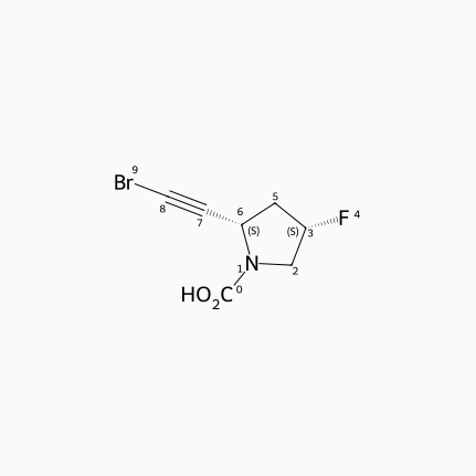 O=C(O)N1C[C@@H](F)C[C@H]1C#CBr